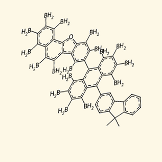 Bc1c(-c2c3c(B)c(B)c(B)c(B)c3c(-c3ccc4c(c3)-c3ccccc3C4(C)C)c3c(B)c(B)c(B)c(B)c23)c(B)c2c(oc3c4c(B)c(B)c(B)c(B)c4c(B)c(B)c32)c1B